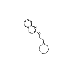 c1ccc2nc(OCCN3CCCCCC3)ccc2c1